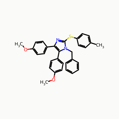 COc1ccc(-c2nc(Sc3ccc(C)cc3)n(Cc3ccccc3)c2-c2ccc(OC)cc2)cc1